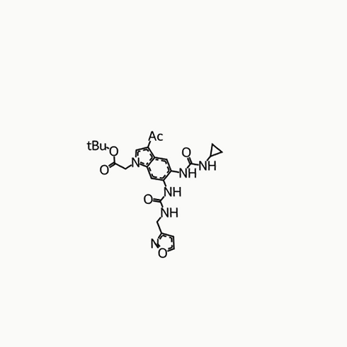 CC(=O)c1cn(CC(=O)OC(C)(C)C)c2cc(NC(=O)NCc3ccon3)c(NC(=O)NC3CC3)cc12